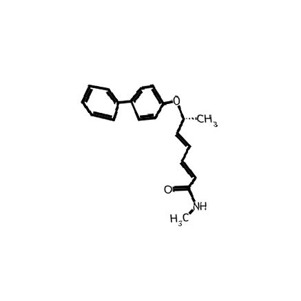 CNC(=O)/C=C/C=C/[C@@H](C)Oc1ccc(-c2ccccc2)cc1